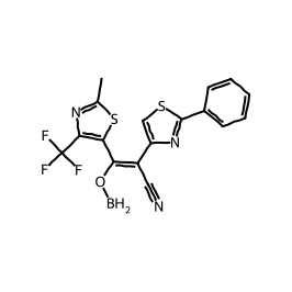 BO/C(=C(\C#N)c1csc(-c2ccccc2)n1)c1sc(C)nc1C(F)(F)F